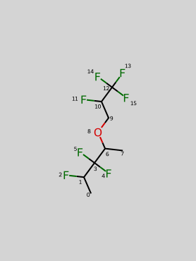 CC(F)C(F)(F)C(C)OCC(F)C(F)(F)F